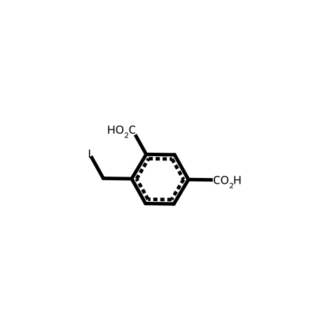 O=C(O)c1ccc(CI)c(C(=O)O)c1